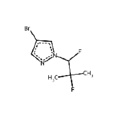 CC(C)(F)C(F)n1cc(Br)cn1